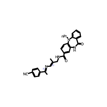 CCCN1c2ccc(C(=O)NC/C(C)=C/N=C(\C)c3ccc(C#N)cc3)cc2NC(=O)c2ccccc21